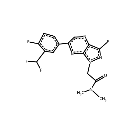 CN(C)C(=O)Cn1nc(F)c2ncc(-c3ccc(F)c(C(F)F)c3)nc21